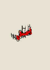 COc1cc(NC(=O)CCN2CCC(OC(=O)Nc3ccccc3-c3ccsc3)CC2)ccc1CNCC(O)c1ccc(O)c2[nH]c(=O)ccc12